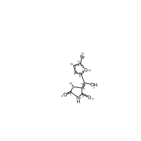 O=C1NC(=O)C(=C(O)c2ccc(Br)o2)S1